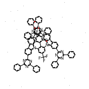 Fc1c(F)c(F)c(-c2c(-n3c4cc(-c5nc(-c6ccccc6)nc(-c6ccccc6)n5)ccc4c4ccc(-c5nc(-c6ccccc6)nc(-c6ccccc6)n5)cc43)cc(C(F)(F)F)cc2-n2c3cc(-c4nc(-c5ccccc5)nc(-c5ccccc5)n4)ccc3c3ccc(-c4nc(-c5ccccc5)nc(-c5ccccc5)n4)cc32)c(F)c1F